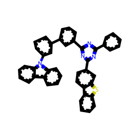 c1ccc(-c2nc(-c3cccc(-c4cccc(-n5c6ccccc6c6ccccc65)c4)c3)nc(-c3ccc4c(c3)sc3ccccc34)n2)cc1